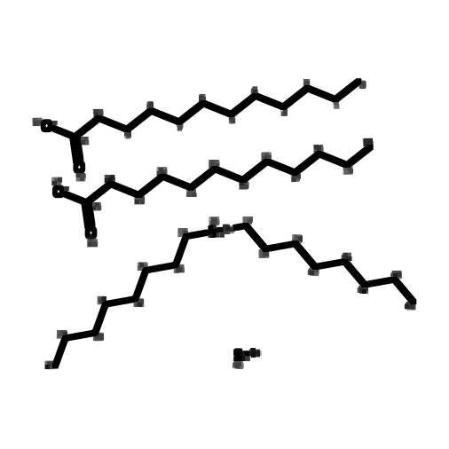 CCCCCCCCCCCC(=O)[O-].CCCCCCCCCCCC(=O)[O-].CCCCCCC[CH2][Sn+2][CH2]CCCCCCC.[Sn+4]